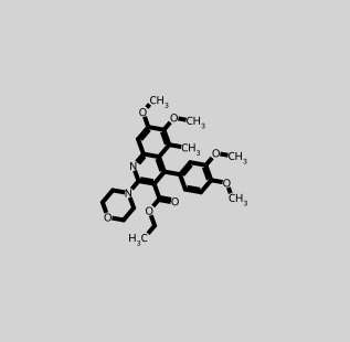 CCOC(=O)c1c(N2CCOCC2)nc2cc(OC)c(OC)c(C)c2c1-c1ccc(OC)c(OC)c1